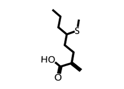 C=C(CCC(CCC)SC)C(=O)O